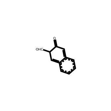 O=[C]C1C=c2ccccc2=CC1=O